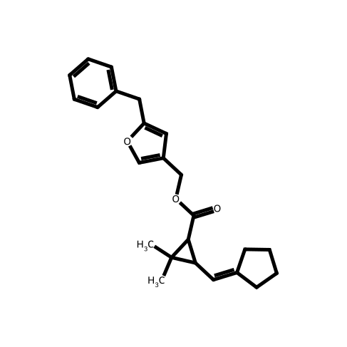 CC1(C)C(C=C2CCCC2)C1C(=O)OCc1coc(Cc2ccccc2)c1